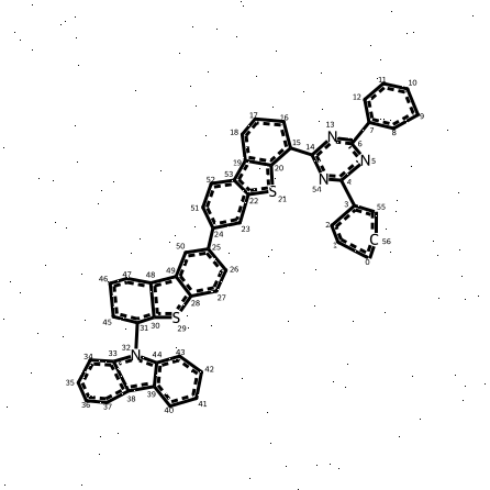 c1ccc(-c2nc(-c3ccccc3)nc(-c3cccc4c3sc3cc(-c5ccc6sc7c(-n8c9ccccc9c9ccccc98)cccc7c6c5)ccc34)n2)cc1